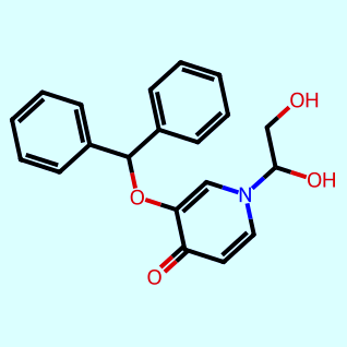 O=c1ccn(C(O)CO)cc1OC(c1ccccc1)c1ccccc1